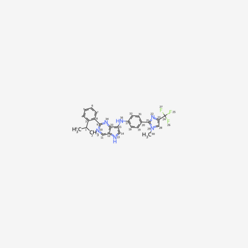 CC(C)c1ccccc1-c1ncc2[nH]cc(Nc3ccc(-c4nc(C(F)(F)F)cn4C)cc3)c2n1